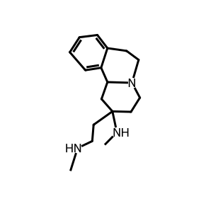 CNCCC1(NC)CCN2CCc3ccccc3C2C1